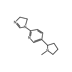 CN1CCCC1c1ccc(N2C=NCC2)nc1